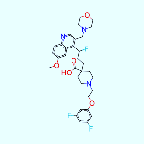 COc1ccc2ncc(CN3CCOCC3)c([C@@H](F)CCC3(C(=O)O)CCN(CCOc4cc(F)cc(F)c4)CC3)c2c1